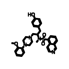 COc1ccccc1N1CCN(CC(Cc2ccc(O)cc2)N(C)S(=O)(=O)c2cccc3cnccc23)CC1